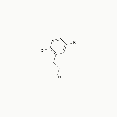 [O]c1ccc(Br)cc1CCO